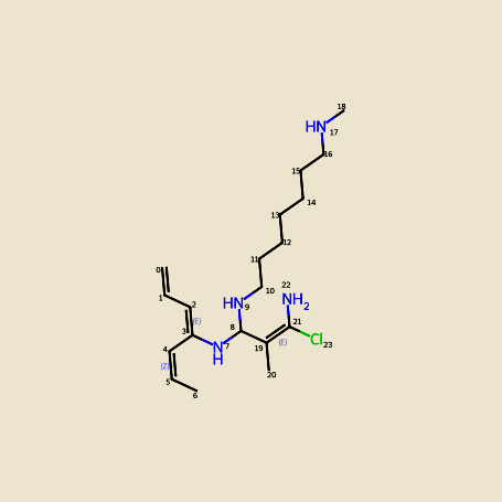 C=C/C=C(\C=C/C)NC(NCCCCCCCNC)/C(C)=C(\N)Cl